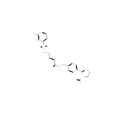 Cc1c(Cl)cccc1S(=O)(=O)N(C)C/C=C/C(=O)N(C)Cc1ccc(C2=NCCN2C(=O)O)cc1